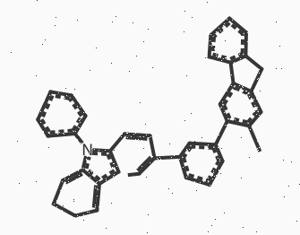 C/C=C(\C=C/c1cc2c(n1-c1ccccc1)=CCCC=2)c1cccc(-c2cc3c(cc2C)Cc2ccccc2-3)c1